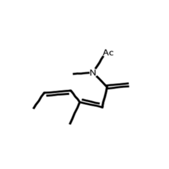 C=C(/C=C(C)\C=C/C)N(C)C(C)=O